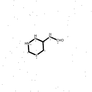 O=CNC1CSCNN1